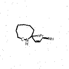 CCCC1(/C=C\C=N)CCCCCCCN1